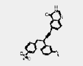 CSc1cccc(C(C#Cc2ccc3nc[nH]c(=O)c3c2)Cc2ccc(S(C)(=O)=O)cc2)c1